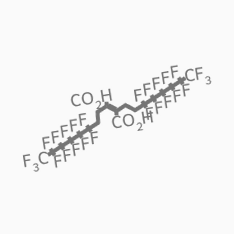 O=C(O)C(CCC(F)(F)C(F)(F)C(F)(F)C(F)(F)C(F)(F)C(F)(F)F)=C(CCC(F)(F)C(F)(F)C(F)(F)C(F)(F)C(F)(F)C(F)(F)F)C(=O)O